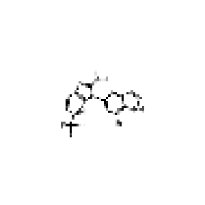 FC(F)c1nc2ccc(C(F)(F)F)nc2n1-c1cc(Br)c2[nH]ncc2c1